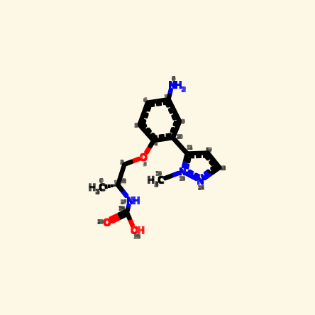 C[C@H](COc1ccc(N)cc1-c1ccnn1C)NC(=O)O